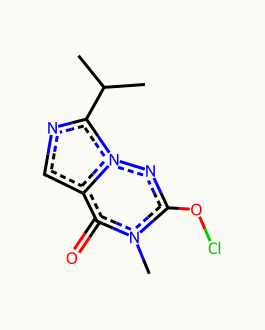 CC(C)c1ncc2c(=O)n(C)c(OCl)nn12